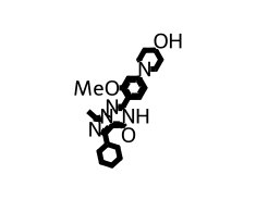 COc1cc(N2CCC(O)CC2)ccc1-c1nn2c(C)nc(C3CCCCC3)c2c(=O)[nH]1